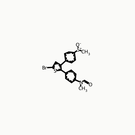 CN(C=O)c1ccc(-c2sc(Br)cc2-c2ccc([S+](C)[O-])cc2)cc1